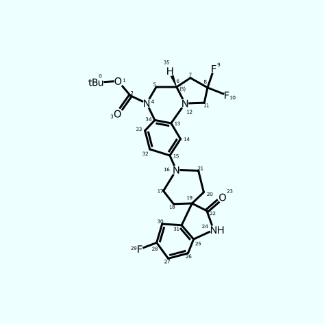 CC(C)(C)OC(=O)N1C[C@@H]2CC(F)(F)CN2c2cc(N3CCC4(CC3)C(=O)Nc3ccc(F)cc34)ccc21